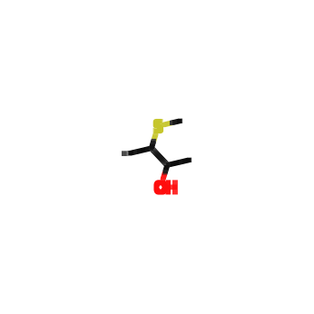 [CH2]C(SC)C(C)O